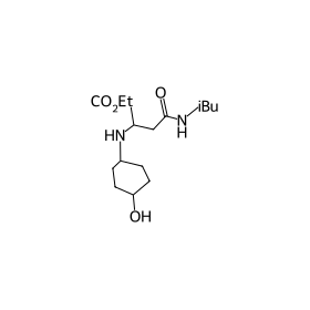 CCOC(=O)C(CC(=O)NC(C)CC)NC1CCC(O)CC1